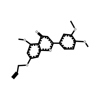 C#CCOc1cc(OC)c2c(=O)cc(-c3ccc(OC)c(OC)c3)oc2c1